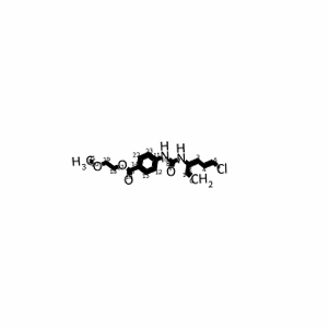 C=C/C(=C\C=C\Cl)NC(=O)Nc1ccc(C(=O)OCCOC)cc1